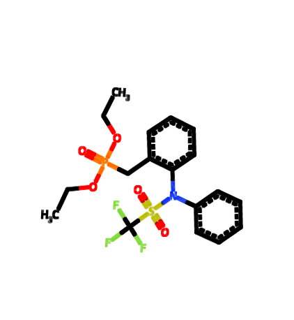 CCOP(=O)(Cc1ccccc1N(c1ccccc1)S(=O)(=O)C(F)(F)F)OCC